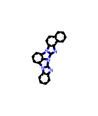 c1ccc2c(c1)ccc1c2nc2n1c1cccc3c1n2c1nc2ccccc2n31